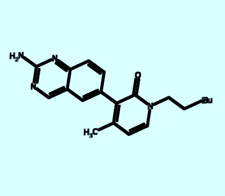 CCC(C)CCn1ccc(C)c(-c2ccc3nc(N)ncc3c2)c1=O